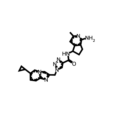 Cc1cc2c(c(N)n1)CCC2NC(=O)c1cn(Cc2cn3cc(C4CC4)ccc3n2)nn1